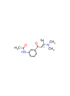 [2H]/C(=C\C(=O)c1cccc(NC(C)=O)c1)N(C)C